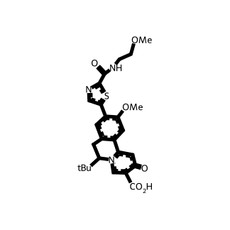 COCCNC(=O)c1ncc(-c2cc3c(cc2OC)-c2cc(=O)c(C(=O)O)cn2C(C(C)(C)C)C3)s1